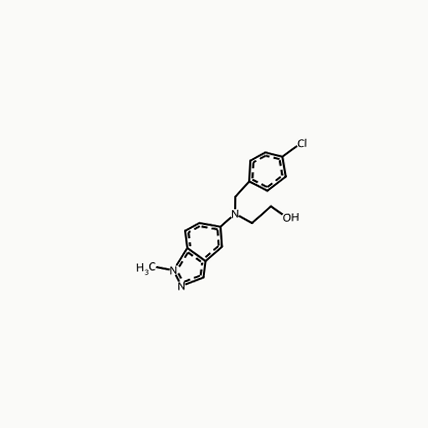 Cn1ncc2cc(N(CCO)Cc3ccc(Cl)cc3)ccc21